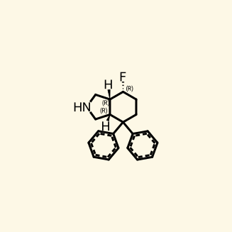 F[C@@H]1CCC(c2ccccc2)(c2ccccc2)[C@@H]2CNC[C@H]12